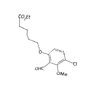 CCOC(=O)CCCCOc1ccc(Cl)c(OC)c1C=O